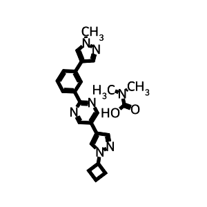 CN(C)C(=O)O.Cn1cc(-c2cccc(-c3ncc(-c4cnn(C5CCC5)c4)cn3)c2)cn1